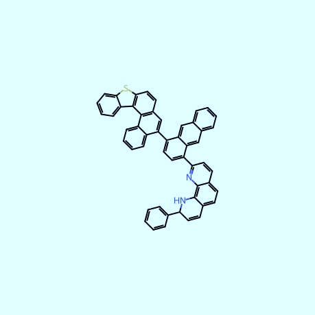 C1=CC(c2ccccc2)Nc2c1ccc1ccc(-c3ccc(-c4cc5ccc6sc7ccccc7c6c5c5ccccc45)c4cc5ccccc5cc34)nc21